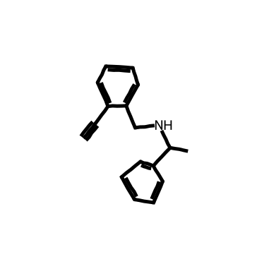 C#Cc1ccccc1CNC(C)c1ccccc1